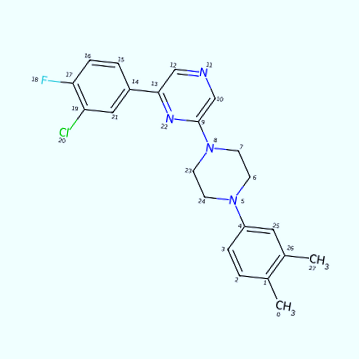 Cc1ccc(N2CCN(c3cncc(-c4ccc(F)c(Cl)c4)n3)CC2)cc1C